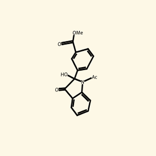 COC(=O)c1cccc(C2(O)C(=O)c3ccccc3N2C(C)=O)c1